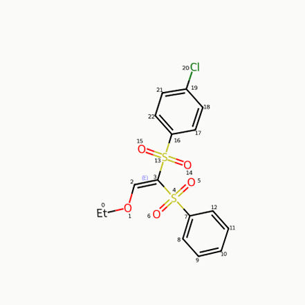 CCO/C=C(\S(=O)(=O)c1ccccc1)S(=O)(=O)c1ccc(Cl)cc1